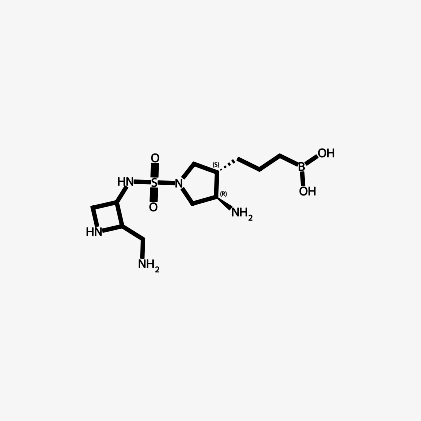 NCC1NCC1NS(=O)(=O)N1C[C@H](CCCB(O)O)[C@@H](N)C1